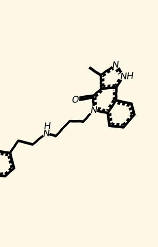 Cc1n[nH]c2c1c(=O)n(CCCNCCc1ccccc1)c1ccccc21